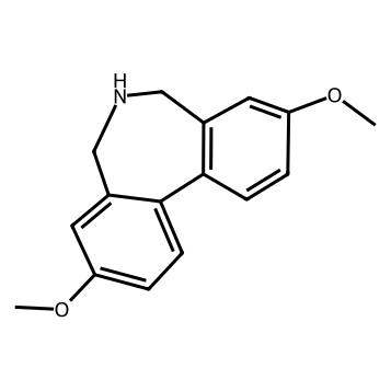 COc1ccc2c(c1)CNCc1cc(OC)ccc1-2